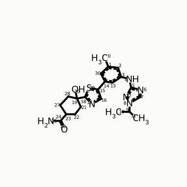 Cc1cc(Nc2ncn(C(C)C)n2)cc(-c2cnc(C3(O)CCC(C(N)=O)CC3)s2)c1